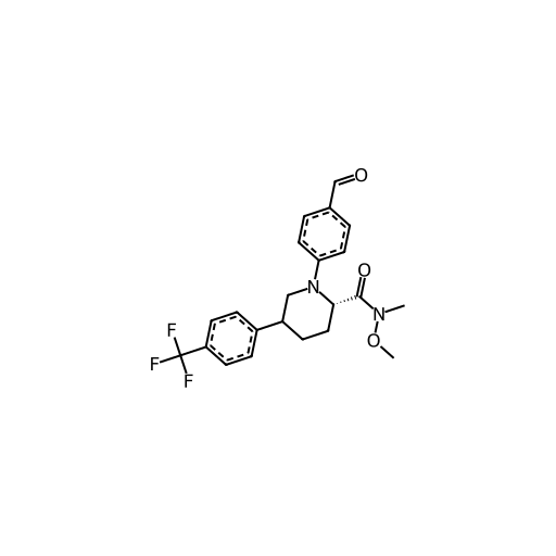 CON(C)C(=O)[C@@H]1CCC(c2ccc(C(F)(F)F)cc2)CN1c1ccc(C=O)cc1